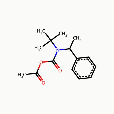 CC(=O)OC(=O)N(C(C)c1ccccc1)C(C)(C)C